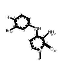 Cn1ccc(Nc2ccc(F)c(Br)c2)c(N)c1=O